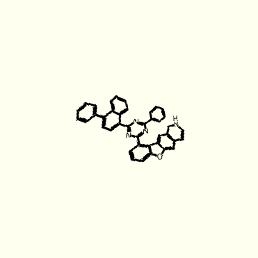 C1=Cc2cc3oc4cccc(-c5nc(-c6ccccc6)nc(-c6ccc(-c7ccccc7)c7ccccc67)n5)c4c3cc2CN1